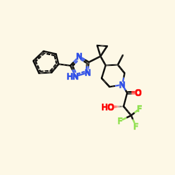 CC1CN(C(=O)[C@@H](O)C(F)(F)F)CCC1C1(c2n[nH]c(-c3ccccc3)n2)CC1